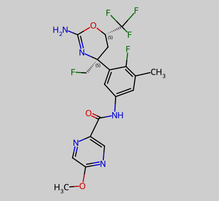 COc1cnc(C(=O)Nc2cc(C)c(F)c([C@]3(CF)C[C@@H](C(F)(F)F)OC(N)=N3)c2)cn1